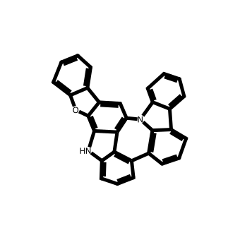 c1ccc2c(c1)oc1c2cc2c3c1[nH]c1cccc(c4cccc5c6ccccc6n2c45)c13